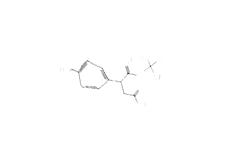 CC(C)(C)OC(=O)C(CC(=O)O)c1ccc(N)cc1